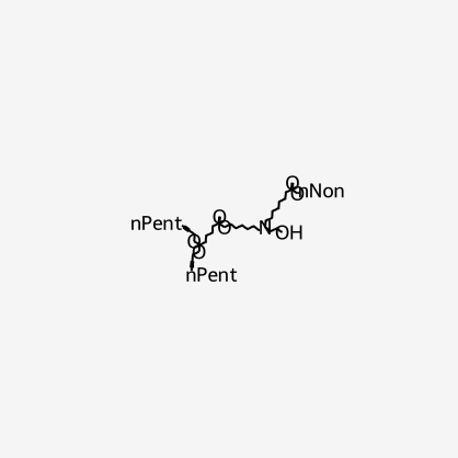 CCCCCC#CCOC(CCCCC(=O)OCCCCCCN(CCO)CCCCCCCC(=O)OCCCCCCCCC)OCC#CCCCCC